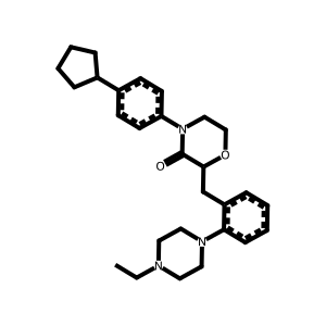 CCN1CCN(c2ccccc2CC2OCCN(c3ccc(C4CCCC4)cc3)C2=O)CC1